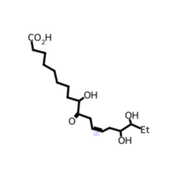 CCC(O)C(O)C/C=C\CC(=O)C(O)CCCCCCCC(=O)O